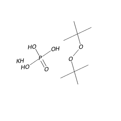 CC(C)(C)OOC(C)(C)C.O=P(O)(O)O.[KH]